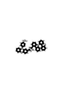 CC(C)(C)c1ccc(N2c3ccccc3Sc3ccc(-c4nc(-c5cccc6c5c5ccccc5n6-c5cccc6oc7ccccc7c56)ns4)cc32)cc1